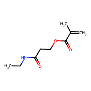 C=C(C)C(=O)OCCC(=O)NCC